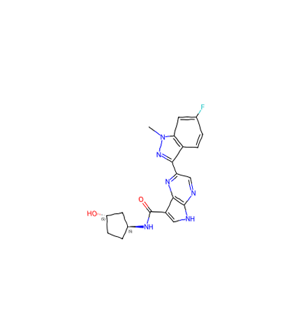 Cn1nc(-c2cnc3[nH]cc(C(=O)N[C@H]4CC[C@H](O)C4)c3n2)c2ccc(F)cc21